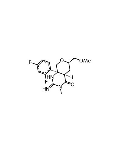 COC[C@H]1C[C@H]2C(=O)N(C)C(=N)N[C@@]2(c2ccc(F)cc2F)CO1